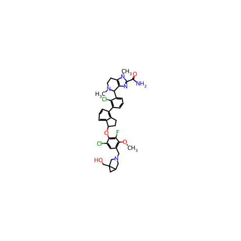 COc1c(CN2CC3CC3(CO)C2)cc(Cl)c(OC2CCc3c(-c4cccc(C5c6nc(C(N)=O)n(C)c6CCN5C)c4Cl)cccc32)c1F